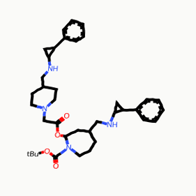 CC(C)(C)OC(=O)N1CCCC(CNC2CC2c2ccccc2)CC1OC(=O)CN1CCC(CNC2CC2c2ccccc2)CC1